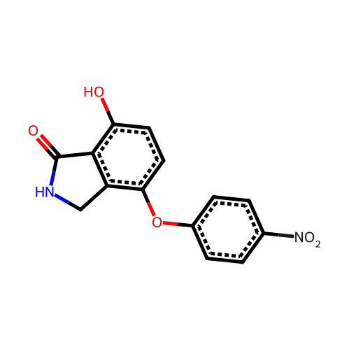 O=C1NCc2c(Oc3ccc([N+](=O)[O-])cc3)ccc(O)c21